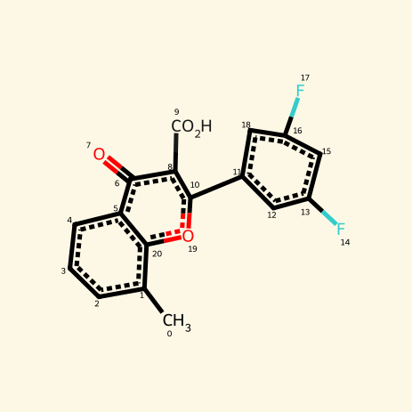 Cc1cccc2c(=O)c(C(=O)O)c(-c3cc(F)cc(F)c3)oc12